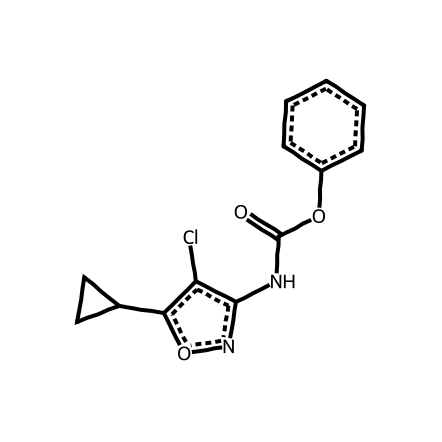 O=C(Nc1noc(C2CC2)c1Cl)Oc1ccccc1